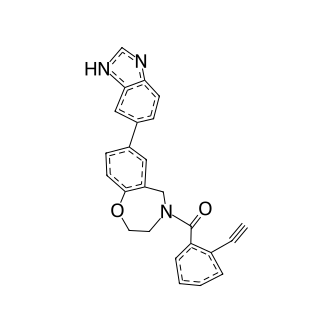 C#Cc1ccccc1C(=O)N1CCOc2ccc(-c3ccc4nc[nH]c4c3)cc2C1